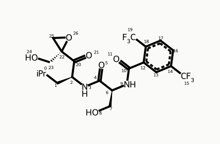 CC(C)C[C@H](NC(=O)[C@H](CO)NC(=O)c1cc(C(F)(F)F)ccc1C(F)(F)F)C(=O)[C@@]1(CO)CO1